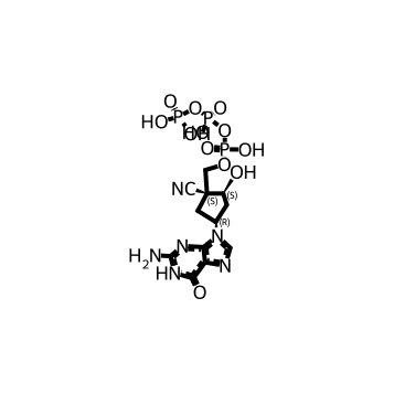 N#C[C@]1(COP(=O)(O)OP(=O)(O)OP(=O)(O)O)C[C@@H](n2cnc3c(=O)[nH]c(N)nc32)C[C@@H]1O